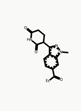 CCC(=O)c1ccc2c(C3CCC(=O)NC3=O)nn(C)c2c1